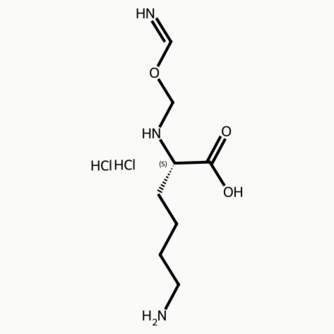 Cl.Cl.N=COCN[C@@H](CCCCN)C(=O)O